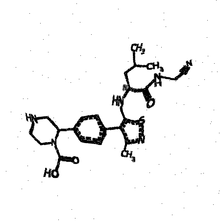 Cc1nsc(N[C@@H](CC(C)C)C(=O)NCC#N)c1-c1ccc(C2CNCCN2C(=O)O)cc1